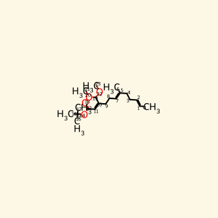 CC=CCCC(C)=CCCC(=CC(=O)OC(C)(C)C)C(OC)OC